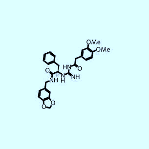 COc1ccc(CC(=O)NC(=N)N[C@H](Cc2ccccc2)C(=O)NCc2ccc3c(c2)OCO3)cc1OC